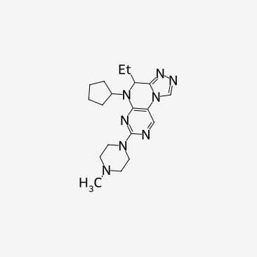 CCC1c2nncn2-c2cnc(N3CCN(C)CC3)nc2N1C1CCCC1